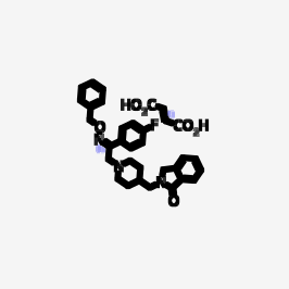 O=C(O)/C=C/C(=O)O.O=C1c2ccccc2CN1CC1CCN(C/C(=N/OCc2ccccc2)c2ccc(F)cc2)CC1